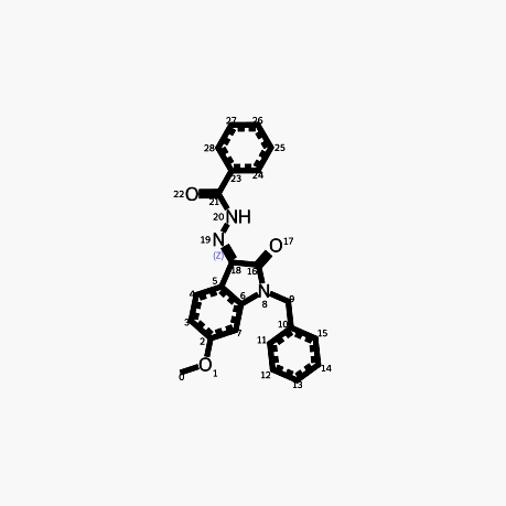 COc1ccc2c(c1)N(Cc1ccccc1)C(=O)/C2=N\NC(=O)c1ccccc1